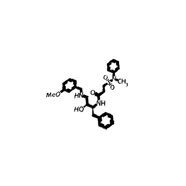 COc1cccc(CNC[C@H](O)[C@H](Cc2ccccc2)NC(=O)CCS(=O)(=O)N(C)c2ccccc2)c1